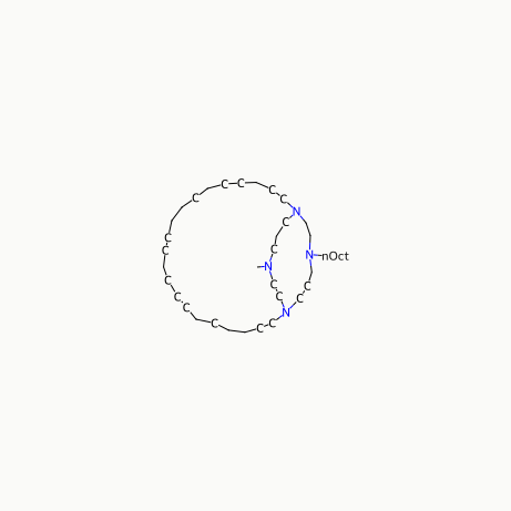 CCCCCCCCN1CCCN2CCCCCCCCCCCCCCCCCCCCCN(CCCN(C)CC2)CC1